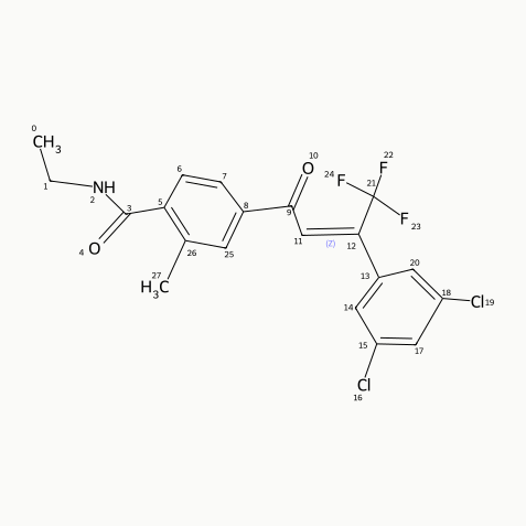 CCNC(=O)c1ccc(C(=O)/C=C(/c2cc(Cl)cc(Cl)c2)C(F)(F)F)cc1C